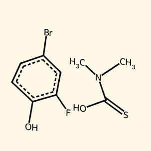 CN(C)C(O)=S.Oc1ccc(Br)cc1F